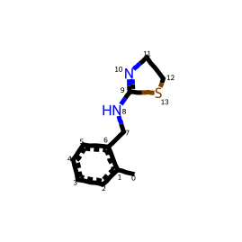 Cc1ccccc1CNC1=NCCS1